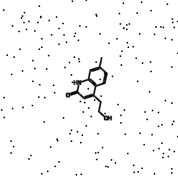 Cc1ccc2c(CCO)cc(=O)[nH]c2c1